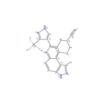 Cc1n[nH]c2ccc3nc(-c4c[nH]nc4C(F)(F)F)c4c(c3c12)CCC(C#N)C4